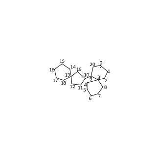 [CH]1CCC2(CCCCC2)C(C2CCC3(CCCCC3)C2)C1